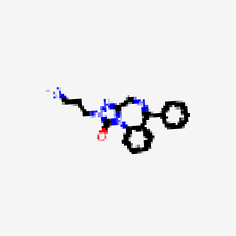 NCCCn1nc2n(c1=O)-c1ccccc1C(c1ccccc1)=NC2